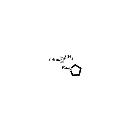 CCCC[SiH](C)ON1CCCC1